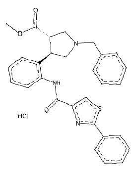 COC(=O)[C@@H]1CN(Cc2ccccc2)C[C@H]1c1ccccc1NC(=O)c1csc(-c2ccccc2)n1.Cl